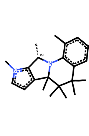 Cc1cccc2c1N1[C@@H](C)c3c(ccn3C)C1(C)C(C)(C)C2(C)C